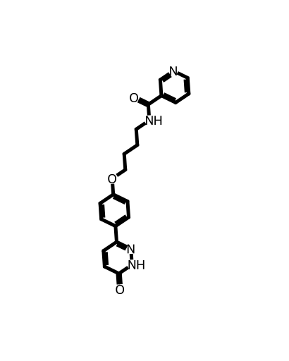 O=C(NCCCCOc1ccc(-c2ccc(=O)[nH]n2)cc1)c1cccnc1